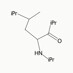 CC(C)NC(CC(C)C(C)C)C(=O)C(C)C